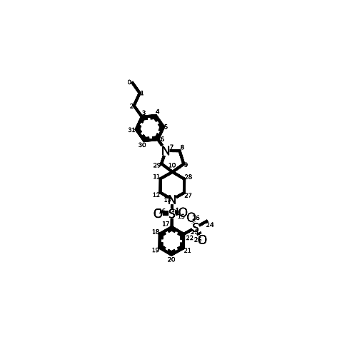 CCCc1ccc(N2CCC3(CCN(S(=O)(=O)c4ccccc4S(C)(=O)=O)CC3)C2)cc1